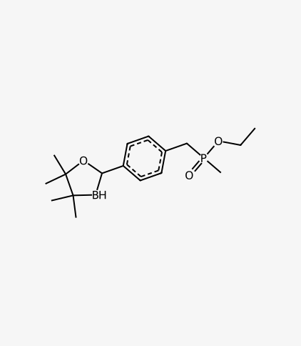 CCOP(C)(=O)Cc1ccc(C2BC(C)(C)C(C)(C)O2)cc1